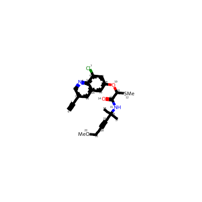 C#Cc1cnc2c(Cl)cc(OC(SC)C(=O)NC(C)(C)C#CCOC)cc2c1